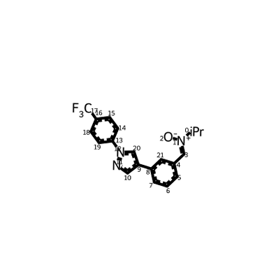 CC(C)/[N+]([O-])=C/c1cccc(-c2cnn(-c3ccc(C(F)(F)F)cc3)c2)c1